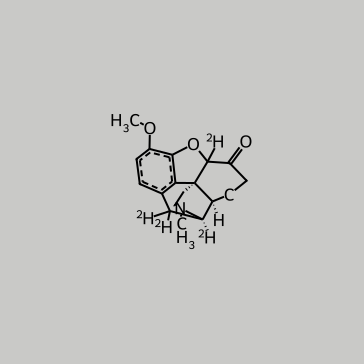 [2H]C12Oc3c(OC)ccc4c3[C@@]13CCN(C)[C@@]([2H])([C@@H]3CCC2=O)C4([2H])[2H]